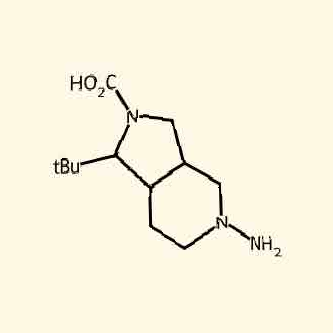 CC(C)(C)C1C2CCN(N)CC2CN1C(=O)O